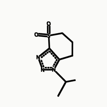 CC(C)n1nnc2c1CCCS2(=O)=O